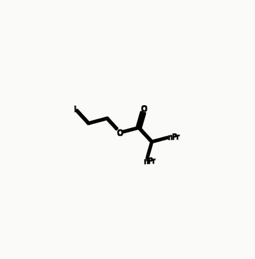 CCCC(CCC)C(=O)OCCI